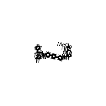 COC(=O)N[C@H]1CCN2CC[C@@H](c3nc4cc(-c5ccc(-c6ccc7[nH]c([C@@H]8C[C@@H]9C[C@@H]9N8C(=O)[C@H](C)c8ccccc8)nc7c6)cc5)ccc4[nH]3)N2C1=O